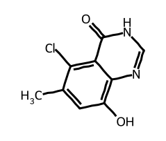 Cc1cc(O)c2nc[nH]c(=O)c2c1Cl